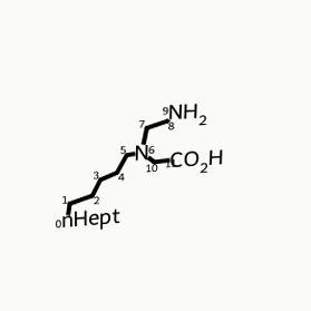 CCCCCCCCCCCCN(CCN)CC(=O)O